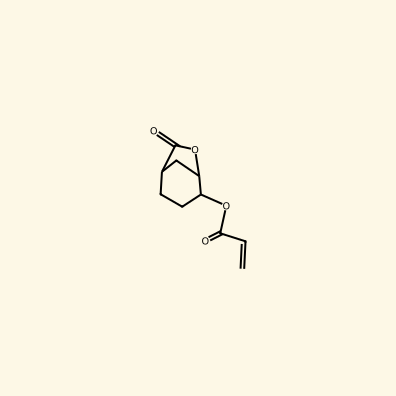 C=CC(=O)OC1CCC2CC1OC2=O